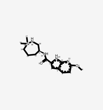 COc1ccc2cc(C(=O)N[C@H]3CCC[Si](C)(C)NC3)[nH]c2n1